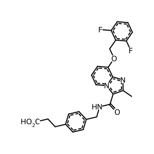 Cc1nc2c(OCc3c(F)cccc3F)cccn2c1C(=O)NCc1ccc(CCC(=O)O)cc1